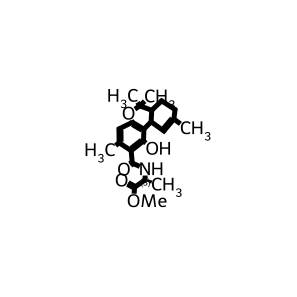 COC(=O)[C@H](C)NC(=O)c1c(C)cc2c(c1O)C1C=C(C)CCC1C(C)(C)O2